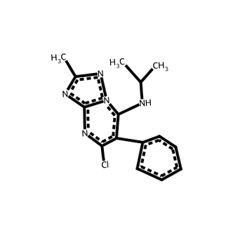 Cc1nc2nc(Cl)c(-c3ccccc3)c(NC(C)C)n2n1